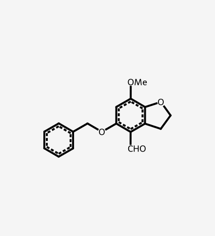 COc1cc(OCc2ccccc2)c(C=O)c2c1OCC2